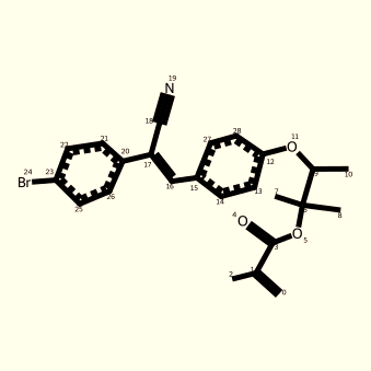 C=C(C)C(=O)OC(C)(C)C(C)Oc1ccc(/C=C(\C#N)c2ccc(Br)cc2)cc1